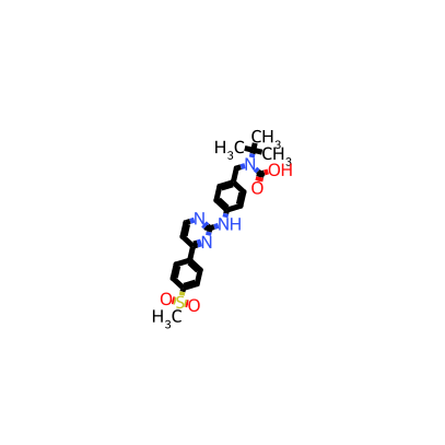 CC(C)(C)N(Cc1ccc(Nc2nccc(-c3ccc(S(C)(=O)=O)cc3)n2)cc1)C(=O)O